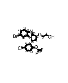 OCCO[C@@H]1C[C@H](c2cc(Cl)ccc2OC(F)F)n2c1nc1ccc(Br)cc12